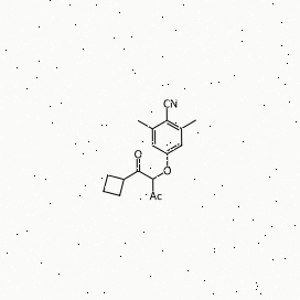 CC(=O)C(Oc1cc(C)c(C#N)c(C)c1)C(=O)C1CCC1